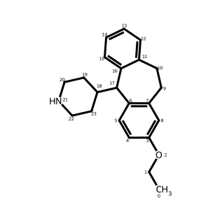 CCOc1ccc2c(c1)CCc1ccccc1C2C1CCNCC1